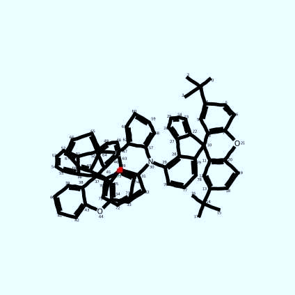 CC(C)(C)c1ccc2c(c1)C1(c3cc(C(C)(C)C)ccc3O2)c2ccccc2-c2c(N(c3ccc4c(c3)C3(c5ccccc5O4)c4ccccc4-c4ccccc43)c3ccccc3-n3c4ccccc4c4ccccc43)cccc21